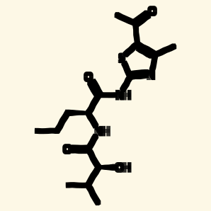 CCC[C@H](NC(=O)[C@@H](O)C(C)C)C(=O)Nc1nc(C)c(C(C)=O)s1